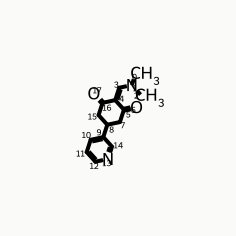 CN(C)C=C1C(=O)CC(c2cccnc2)CC1=O